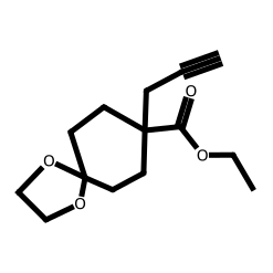 C#CCC1(C(=O)OCC)CCC2(CC1)OCCO2